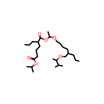 CCCC(CCCCOC(C)OC(=O)C(CCC)CCCC(=O)OC(C)C)COC(C)C(C)C